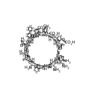 Cc1cccc(C[C@@H]2NC(=O)[C@H](CC(=O)O)NC(=O)[C@H](Cc3ccc(OCC(=O)O)cc3)NC(=O)[C@H](CC(C)C)NC(=O)CSC[C@@H](C(=O)N[C@@H](CCN)C(N)=O)NC(=O)[C@H](CCCN)NC(=O)[C@H](C(C)C)NC(=O)[C@H](CC3CCCCC3)NC(=O)[C@H](CCN)NC(=O)[C@@H](CC(C)C)NC(=O)[C@H](C)N(C)C(=O)[C@H](CCC(N)=O)NC(=O)[C@H](Cc3ccc(-c4ccccc4)cc3)NC(=O)[C@H](Cc3ccc(C(=O)O)cc3)NC2=O)c1